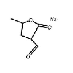 CC1CC(C=O)C(=O)O1.[Na]